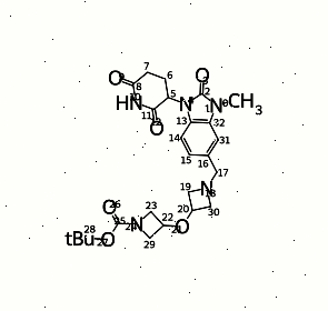 Cn1c(=O)n(C2CCC(=O)NC2=O)c2ccc(CN3CC(OC4CN(C(=O)OC(C)(C)C)C4)C3)cc21